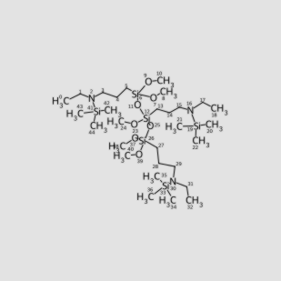 CCN(CCC[Si](OC)(OC)O[Si](CCCN(CC)[Si](C)(C)C)(OC)O[Si](CCCN(CC)[Si](C)(C)C)(OC)OC)[Si](C)(C)C